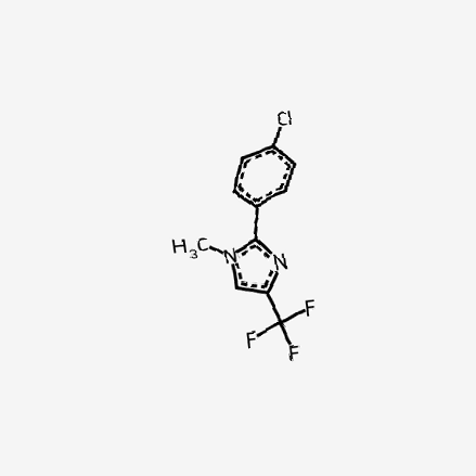 Cn1cc(C(F)(F)F)nc1-c1ccc(Cl)cc1